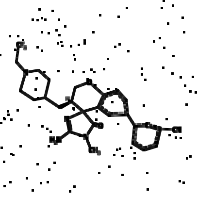 CN1C(=O)C2(N=C1N)c1cc(-c3cccc(C#N)c3)ccc1OC[C@@H]2CC1CCN(CC(F)(F)F)CC1